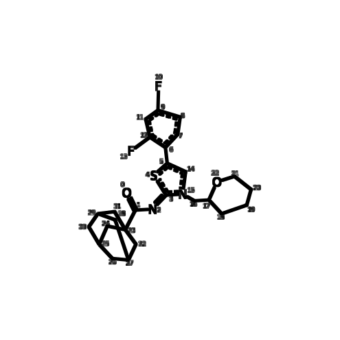 O=C(N=c1sc(-c2ccc(F)cc2F)cn1CC1CCCCO1)C12CC3CC(CC(C3)C1)C2